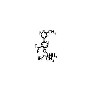 Cc1cc(-c2cc(C(F)F)c(OCC(C)(N)CC(C)C)cn2)cnn1